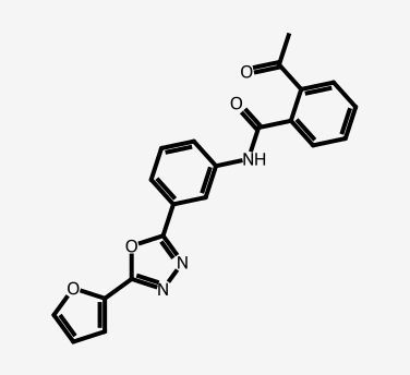 CC(=O)c1ccccc1C(=O)Nc1cccc(-c2nnc(-c3ccco3)o2)c1